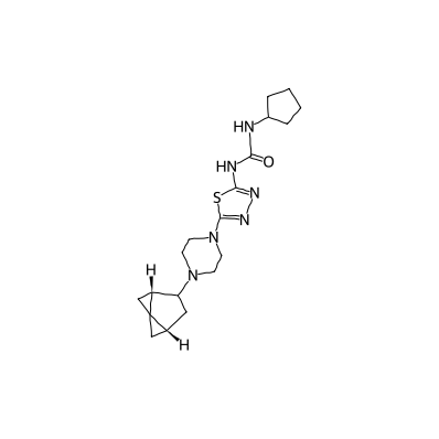 O=C(Nc1nnc(N2CCN(C3C[C@@H]4CC45C[C@H]35)CC2)s1)NC1CCCC1